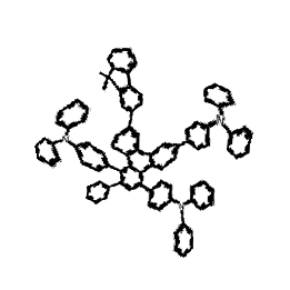 CC1(C)c2ccccc2-c2ccc(-c3ccc4c(c3)c3cc(-c5ccc(N(c6ccccc6)c6ccccc6)cc5)ccc3c3c(-c5ccc(N(c6ccccc6)c6ccccc6)cc5)cc(-c5ccccc5)c(-c5ccc(N(c6ccccc6)c6ccccc6)cc5)c43)cc21